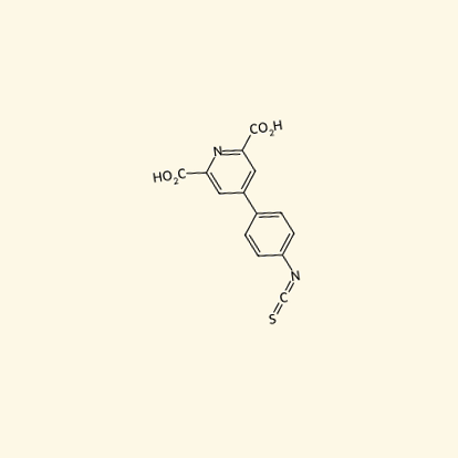 O=C(O)c1cc(-c2ccc(N=C=S)cc2)cc(C(=O)O)n1